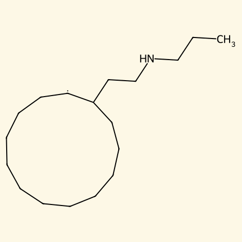 CCCNCCC1[CH]CCCCCCCCCCC1